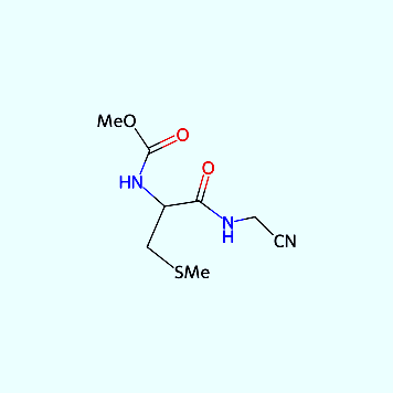 COC(=O)NC(CSC)C(=O)NCC#N